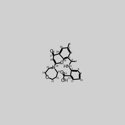 Cc1cc(C(C)Nc2ccccc2C(=O)O)c2oc(N3CCCOCC3)cc(=O)c2c1